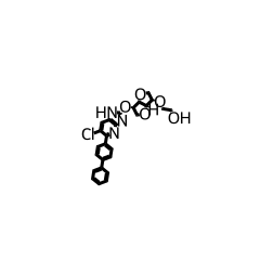 OCCO[C@@H]1COC2[C@H](Oc3nc4nc(-c5ccc(-c6ccccc6)cc5)c(Cl)cc4[nH]3)CO[C@@H]21